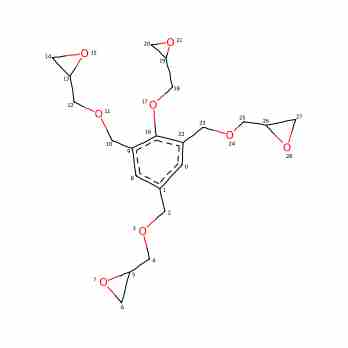 c1c(COCC2CO2)cc(COCC2CO2)c(OCC2CO2)c1COCC1CO1